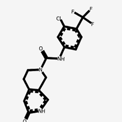 O=C(Nc1ccc(C(F)(F)F)c(Cl)c1)N1CCc2cc(=O)[nH]cc2C1